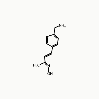 CC(C=Cc1ccc(CN)cc1)=NO